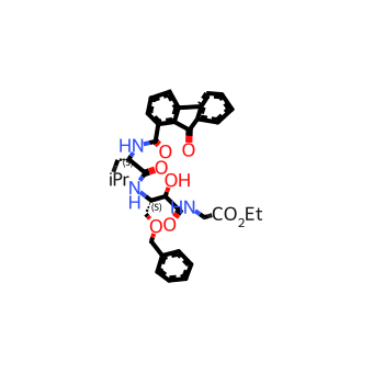 CCOC(=O)CNC(=O)C(O)[C@H](COCc1ccccc1)NC(=O)[C@H](CC(C)C)NC(=O)c1cccc2c1C(=O)c1ccccc1-2